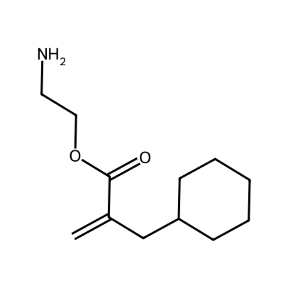 C=C(CC1CCCCC1)C(=O)OCCN